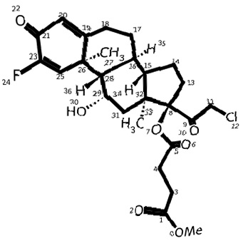 COC(=O)CCC(=O)O[C@]1(C(=O)CCl)CC[C@H]2[C@@H]3CCC4=CC(=O)C(F)=C[C@]4(C)[C@H]3[C@@H](O)C[C@@]21C